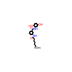 CCCCCCCCCCCCCCCC(=O)Nc1cccc(C(=O)Nc2cc(O)ccc2O)c1